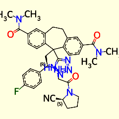 CN(C)C(=O)c1ccc2c(c1)CCc1cc(C(=O)N(C)C)ccc1C2(C[C@@H](NCC(=O)N1CCC[C@H]1C#N)c1ccc(F)cc1)c1nnn[nH]1